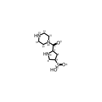 O=C(C1CC(S(=O)O)CN1)N1CCNCC1